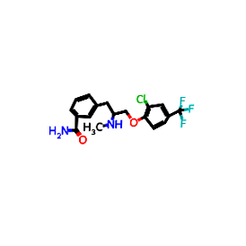 CNC(COc1ccc(C(F)(F)F)cc1Cl)Cc1cccc(C(N)=O)c1